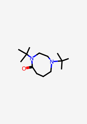 CC(C)(C)N1CCCC(=O)N(C(C)(C)C)CC1